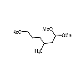 COC(CC(C)CCCOC(C)=O)OC